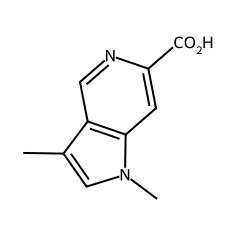 Cc1cn(C)c2cc(C(=O)O)ncc12